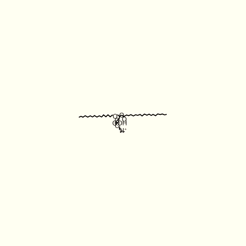 CCCCCCCCCCCCCCCCCCCC(=O)OC(COCCCCCCCCCCCCCCCC)COP(=O)(O)OCC[N+](C)(C)C